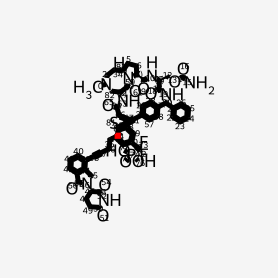 CN1CC[C@H]2CC[C@@H](C(=O)N[C@@H](COC(N)=O)C(=O)N[C@H](c3ccccc3)c3ccc(C#CCCCCC#Cc4cccc5c4CN(C4CCC(=O)NC4=O)C5=O)cc3)N2C(=O)[C@@H](NC(=O)c2cc3cc(C(F)(F)P(=O)(O)O)ccc3s2)C1